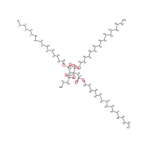 CCCCCCCCCCCCCCCCCOC(=O)CC(CC(=O)OCCCCCCCCCCCCCCCCC)(OC(=O)CCC)C(=O)OCCCCCCCCCCCCCCCCC